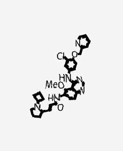 COc1c(NC(=O)C=CC2CCCN2C2CCC2)ccc2ncnc(Nc3ccc(OCc4ccccn4)c(Cl)c3)c12